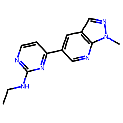 CCNc1nccc(-c2cnc3c(cnn3C)c2)n1